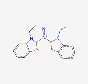 CCN1c2ccccc2SC1[N+](=[N-])C1Sc2ccccc2N1CC